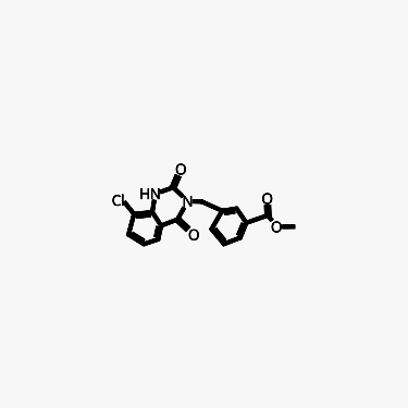 COC(=O)c1cccc(Cn2c(=O)[nH]c3c(Cl)cccc3c2=O)c1